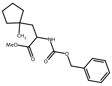 COC(=O)C(CC1(C)CCCC1)NC(=O)OCc1ccccc1